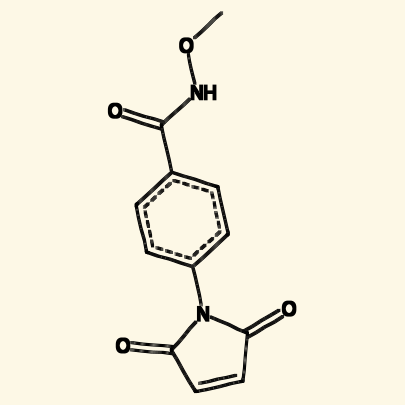 CONC(=O)c1ccc(N2C(=O)C=CC2=O)cc1